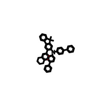 Cc1cc2c(cc1-c1cc3c(cc1N(c1ccc(-c4ccccc4)cc1)c1ccc(-c4ccccc4)cc1)C(C)(C)c1ccccc1-3)CCCC2